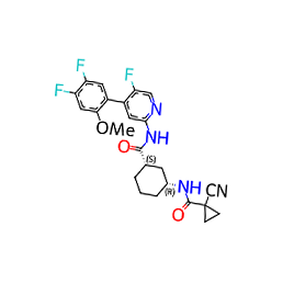 COc1cc(F)c(F)cc1-c1cc(NC(=O)[C@H]2CCC[C@@H](NC(=O)C3(C#N)CC3)C2)ncc1F